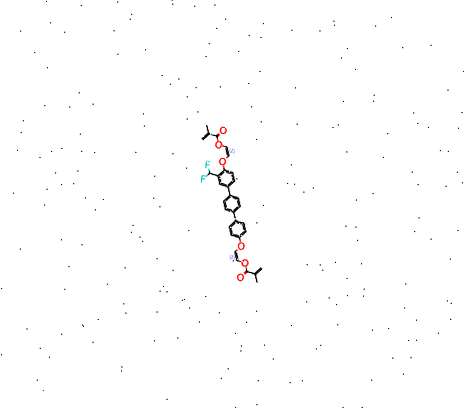 C=C(C)C(=O)O/C=C\Oc1ccc(-c2ccc(-c3ccc(O/C=C\OC(=O)C(=C)C)c(C(F)F)c3)cc2)cc1